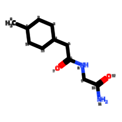 CC1CCC(CC(=O)NCC(N)=O)CC1